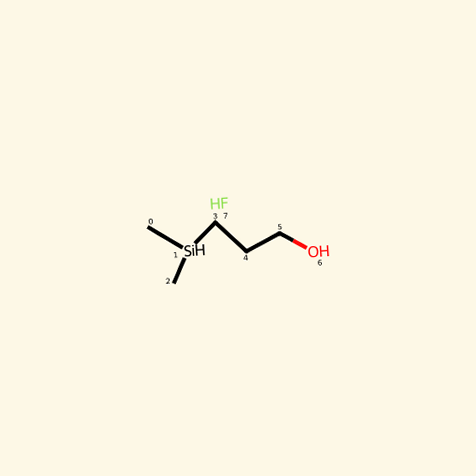 C[SiH](C)CCCO.F